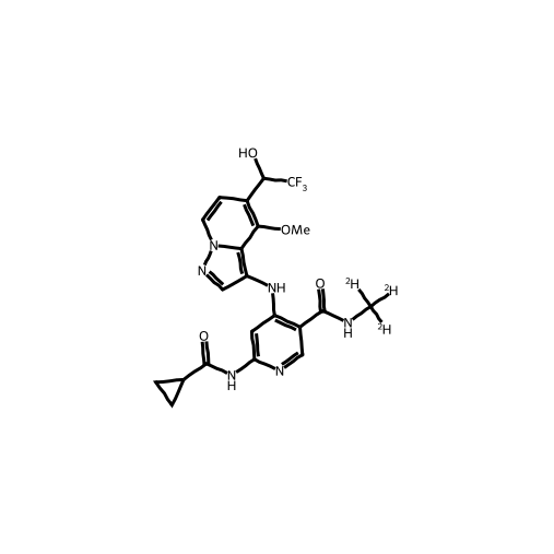 [2H]C([2H])([2H])NC(=O)c1cnc(NC(=O)C2CC2)cc1Nc1cnn2ccc(C(O)C(F)(F)F)c(OC)c12